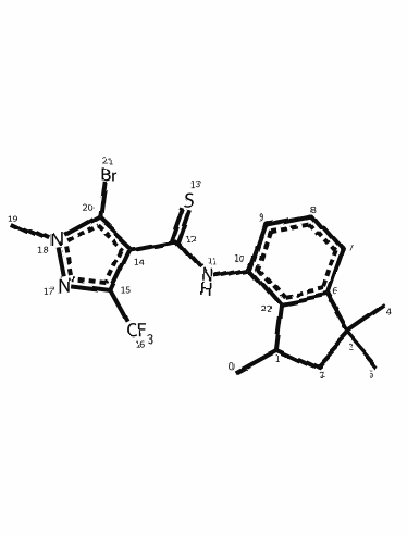 CC1CC(C)(C)c2cccc(NC(=S)c3c(C(F)(F)F)nn(C)c3Br)c21